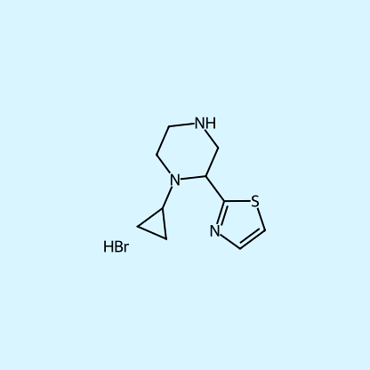 Br.c1csc(C2CNCCN2C2CC2)n1